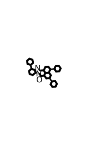 O=c1c2cc(-c3ccccc3)cc3c(-c4ccccc4)ccc(c32)c2nc3c(-c4ccccc4)cccc3n12